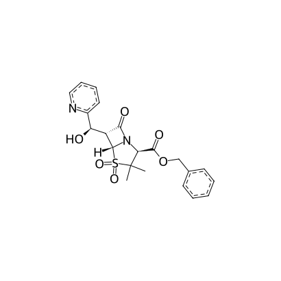 CC1(C)[C@H](C(=O)OCc2ccccc2)N2C(=O)[C@@H]([C@@H](O)c3ccccn3)[C@H]2S1(=O)=O